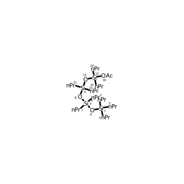 CCC[Si](CCC)(CCC)O[Si](CCC)(CCC)O[Si](CCC)(CCC)O[Si](CCC)(CCC)OC(C)=O